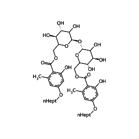 CCCCCCCOc1cc(C)c(C(=O)OCC2O[C@H](O[C@H]3OC(COC(=O)c4c(C)cc(OCCCCCCC)cc4O)[C@@H](O)[C@H](O)C3O)C(O)[C@@H](O)[C@@H]2O)c(O)c1